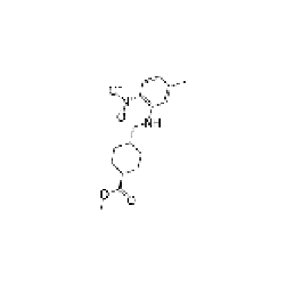 COC(=O)[C@H]1CC[C@H](CNc2cc(C)ccc2[N+](=O)[O-])CC1